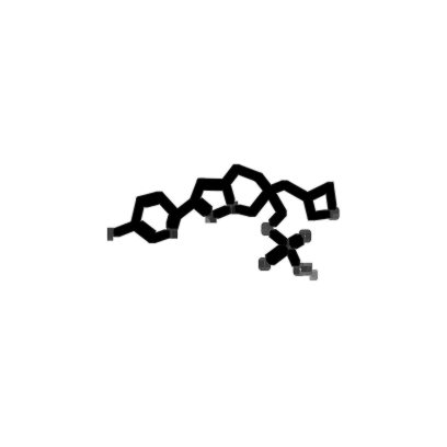 CS(=O)(=O)OCC1(CC2COC2)CCc2cc(-c3ccc(F)cn3)nn2C1